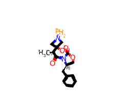 C[C@H](C(=O)N1C(=O)OC[C@H]1Cc1ccccc1)C1(O)CN(P)C1